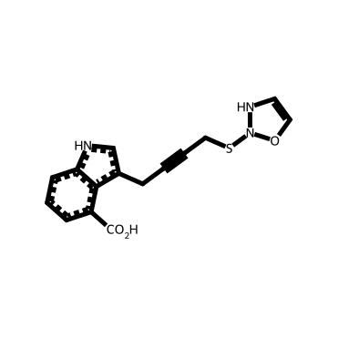 O=C(O)c1cccc2[nH]cc(CC#CCSN3NC=CO3)c12